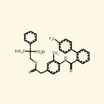 CCOC(=O)C(COC(=O)Cc1ccc(NC(=O)c2ccccc2-c2ccc(C(F)(F)F)cc2)c(C)c1)(C(=O)OCC)c1ccccc1